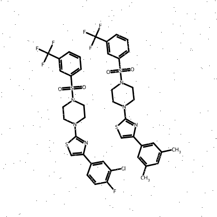 Cc1cc(C)cc(-c2csc(N3CCN(S(=O)(=O)c4cccc(C(F)(F)F)c4)CC3)n2)c1.O=S(=O)(c1cccc(C(F)(F)F)c1)N1CCN(c2nc(-c3ccc(F)c(Cl)c3)cs2)CC1